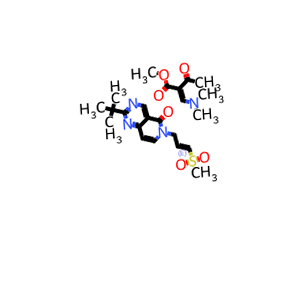 CC(C)(C)c1ncc2c(=O)n(C/C=C/S(C)(=O)=O)ccc2n1.COC(=O)C(=CN(C)C)C(C)=O